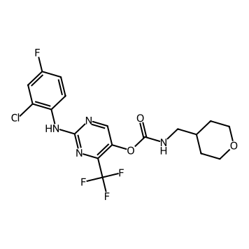 O=C(NCC1CCOCC1)Oc1cnc(Nc2ccc(F)cc2Cl)nc1C(F)(F)F